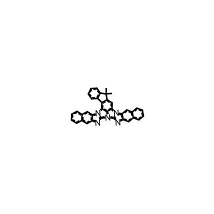 CC1(C)c2ccccc2-c2c1cc1c3c2n2c4cc5ccccc5cc4nc2n3c2nc3cc4ccccc4cc3n12